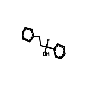 OC(F)(CCc1ccccc1)c1ccccc1